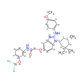 C[C@H]1C[C@@H](n2c(Nc3ccc(OC(F)(F)F)cc3)nc3cc(OCC(=O)Nc4cccc(OC(F)F)c4)ccc32)CC(C)(C)C1